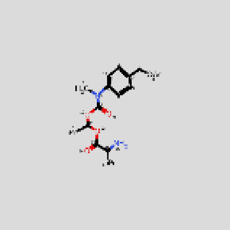 CC(=O)OCc1ccc(N(C)C(=O)OC(OC(=O)[C@@H](N)C(C)C)C(C)C)cc1